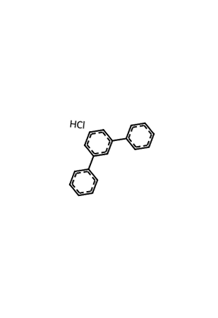 Cl.c1ccc(-c2cccc(-c3ccccc3)c2)cc1